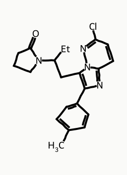 CCC(Cc1c(-c2ccc(C)cc2)nc2ccc(Cl)nn12)N1CCCC1=O